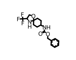 O=C(NC1CCC2(CC1)NC(C(F)(F)F)CO2)OCc1ccccc1